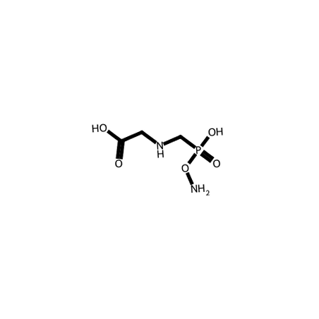 NOP(=O)(O)CNCC(=O)O